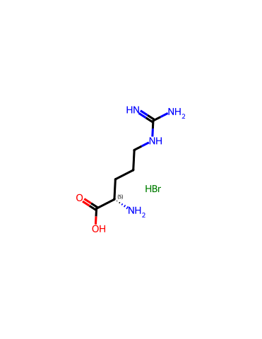 Br.N=C(N)NCCC[C@H](N)C(=O)O